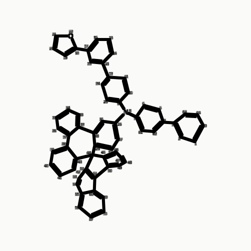 c1ccc(-c2ccc(N(c3ccc(-c4cccc(-c5ccco5)c4)cc3)c3ccc4c(c3)-c3ccccc3-c3ccccc3C43c4ccccc4-c4c3ccc3ccccc43)cc2)cc1